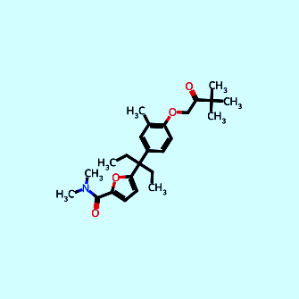 CCC(CC)(c1ccc(OCC(=O)C(C)(C)C)c(C)c1)c1ccc(C(=O)N(C)C)o1